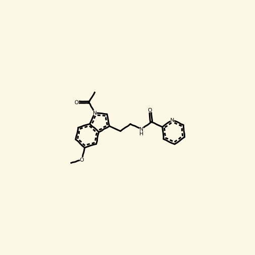 COc1ccc2c(c1)c(CCNC(=O)c1ccccn1)cn2C(C)=O